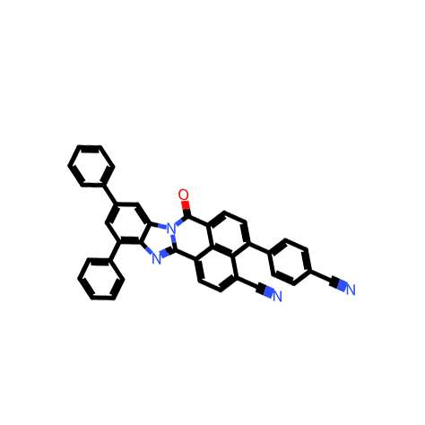 N#Cc1ccc(-c2ccc3c(=O)n4c5cc(-c6ccccc6)cc(-c6ccccc6)c5nc4c4ccc(C#N)c2c34)cc1